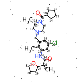 Cc1c(CN2CCN(C(=O)C3CCCC3)[C@@H](C)C2)cc(Cl)cc1NC(=O)C(C)C1CCCO1